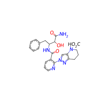 NC(=O)C(O)C(Cc1ccccc1)NC(=O)c1cccnc1-n1cc2c(n1)CCCN2C(=O)O